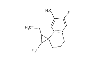 C=CC1C(C)C12CCCc1cc(F)c(C)cc12